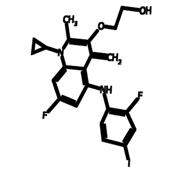 C=C1C(OCCO)=C(C)N(C2CC2)c2cc(F)cc(Nc3ccc(I)cc3F)c21